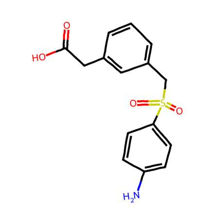 Nc1ccc(S(=O)(=O)Cc2cccc(CC(=O)O)c2)cc1